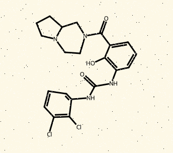 O=C(Nc1cccc(C(=O)N2CCN3CCCC3C2)c1O)Nc1cccc(Cl)c1Cl